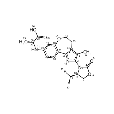 Cc1c(N2C(=O)OC[C@H]2C(F)F)nc2n1CCOc1cc(N[C@@H](C)C(=O)O)ccc1-2